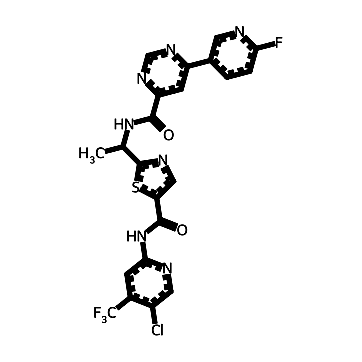 CC(NC(=O)c1cc(-c2ccc(F)nc2)ncn1)c1ncc(C(=O)Nc2cc(C(F)(F)F)c(Cl)cn2)s1